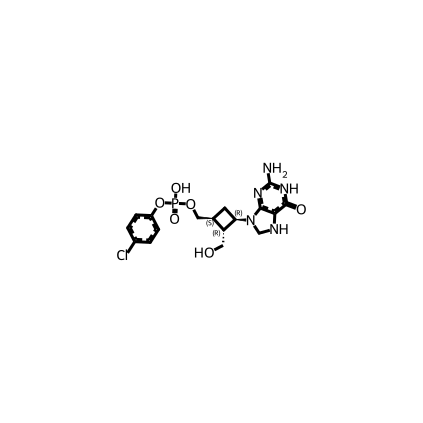 Nc1nc2c(c(=O)[nH]1)NCN2[C@@H]1C[C@H](COP(=O)(O)Oc2ccc(Cl)cc2)[C@H]1CO